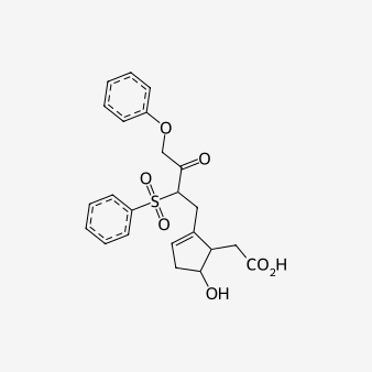 O=C(O)CC1C(CC(C(=O)COc2ccccc2)S(=O)(=O)c2ccccc2)=CCC1O